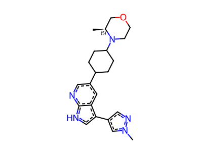 C[C@H]1COCCN1C1CCC(c2cnc3[nH]cc(-c4cnn(C)c4)c3c2)CC1